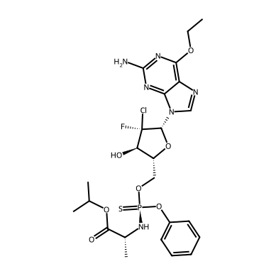 CCOc1nc(N)nc2c1ncn2[C@@H]1O[C@H](CO[P@](=S)(N[C@H](C)C(=O)OC(C)C)Oc2ccccc2)[C@@H](O)[C@@]1(F)Cl